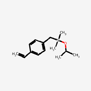 C=Cc1ccc(C[Si](C)(C)OC(C)C)cc1